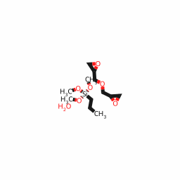 C(OCC1CO1)C1CO1.CCC[Si](OC)(OC)OC.O